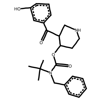 CC(C)(C)N(Cc1ccccc1)C(=O)OC1CCNCC1C(=O)c1cccc(O)c1